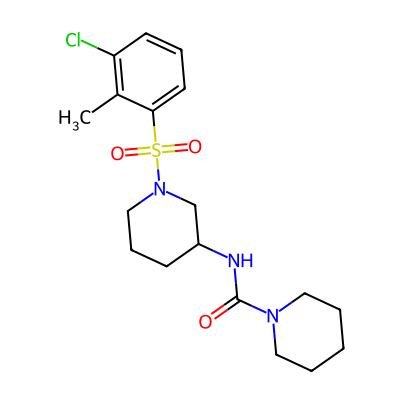 Cc1c(Cl)cccc1S(=O)(=O)N1CCCC(NC(=O)N2CCCCC2)C1